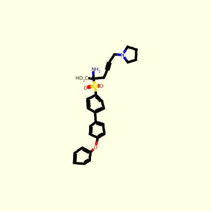 NC(CC#CCN1CCCC1)(C(=O)O)S(=O)(=O)c1ccc(-c2ccc(Oc3ccccc3)cc2)cc1